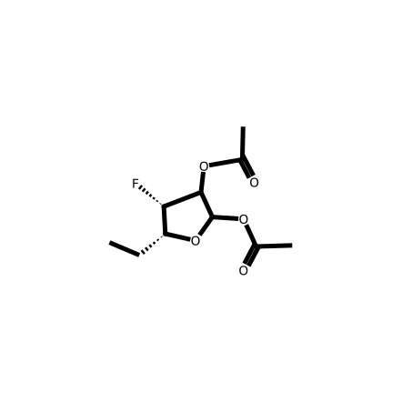 CC[C@H]1OC(OC(C)=O)C(OC(C)=O)[C@H]1F